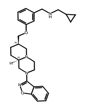 c1cc(CNCC2CC2)cc(OC[C@@H]2CC[C@@H]3CN(c4noc5ccccc45)CCN3C2)c1